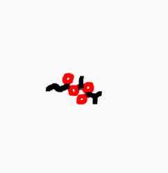 C=C(C)C(=O)O[C](C)OC(=O)C=CC